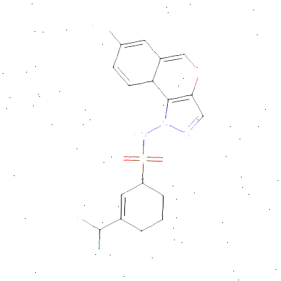 CC1=CC2=COc3cnn(NS(=O)(=O)C4C=C(C(F)F)CCC4)c3C2C=C1